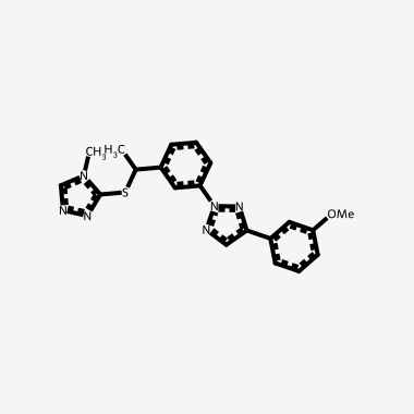 COc1cccc(-c2cnn(-c3cccc(C(C)Sc4nncn4C)c3)n2)c1